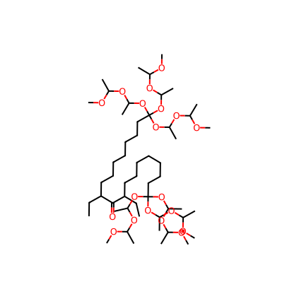 CCC(CCCCCCCC(OC(C)OC(C)OC)(OC(C)OC(C)OC)OC(C)OC(C)OC)C(=O)C(CC)CCCCCCCC(OC(C)OC(C)OC)(OC(C)OC(C)OC)OC(C)OC(C)OC